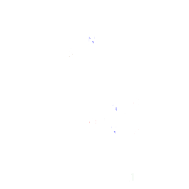 Cc1ccc2nc(-c3ccc(N4C(=O)C(=O)N(c5cccc(Cl)c5)C4=O)cc3)sc2c1